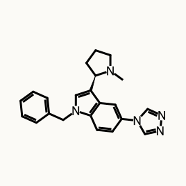 CN1CCC[C@@H]1c1cn(Cc2ccccc2)c2ccc(-n3cnnc3)cc12